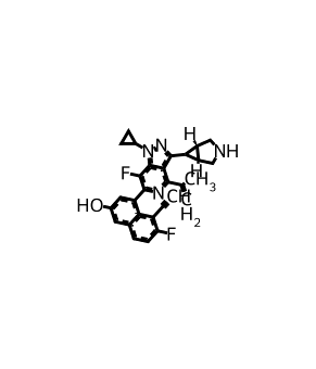 C#Cc1c(F)ccc2cc(O)cc(-c3nc(C(=C)C)c4c(C5[C@H]6CNC[C@@H]56)nn(C5CC5)c4c3F)c12